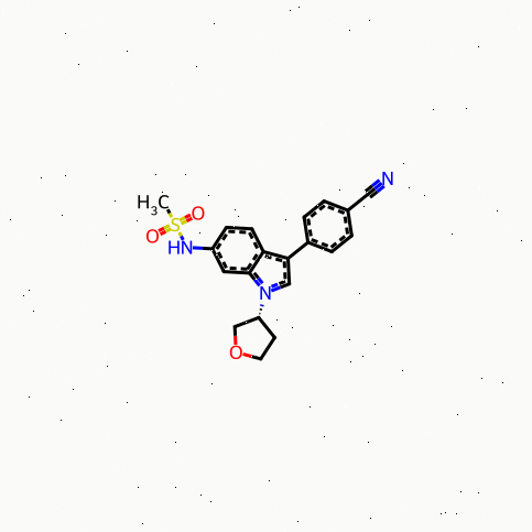 CS(=O)(=O)Nc1ccc2c(-c3ccc(C#N)cc3)cn([C@@H]3CCOC3)c2c1